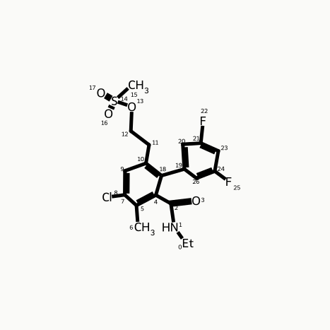 CCNC(=O)c1c(C)c(Cl)cc(CCOS(C)(=O)=O)c1-c1cc(F)cc(F)c1